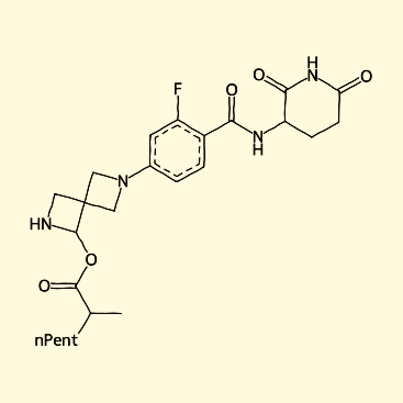 CCCCCC(C)C(=O)OC1NCC12CN(c1ccc(C(=O)NC3CCC(=O)NC3=O)c(F)c1)C2